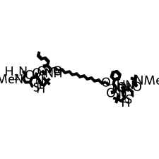 C=C(/C=C\C=C/C)[C@@H](COCCCCCCCCCCCCOC[C@@H](NC(=O)[C@H]1N2C(=O)[C@@H](NC(=O)C(C)(C)NC)CCS[C@H]2CC1(C)C)c1ccccc1)NC(=O)[C@H]1N2C(=O)CC(C[C@H](NC)C(N)=O)CS[C@H]2CC1(C)C